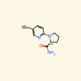 CC(C)(C)c1ccc(N2CCC[C@H]2C(N)=O)nc1